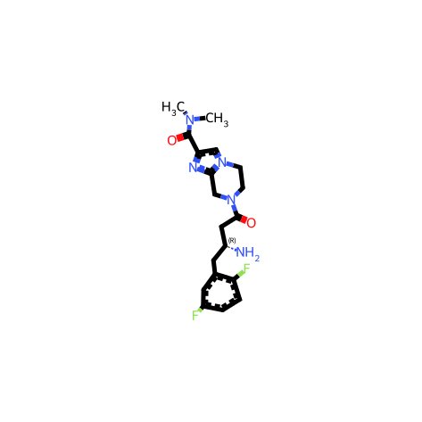 CN(C)C(=O)c1cn2c(n1)CN(C(=O)C[C@H](N)Cc1cc(F)ccc1F)CC2